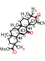 COC(=O)C1(C)CC[C@]2(C)CC[C@]3(C)C(=CC(=O)[C@@H]4[C@@]5(C)CC(C#N)C(=O)C(C)(C)C5CC[C@]43C)[C@H]2C1